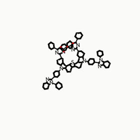 c1ccc(-c2cc(-c3ccccc3)nc(-c3ccc4c(c3)c3c5sc6c(ccc7c6c6cc(-c8nc(-c9ccccc9)cc(-c9ccccc9)n8)ccc6n7-c6ccc(-c7nc8ccccc8n7-c7ccccc7)cc6)c5ccc3n4-c3ccc(-c4nc5ccccc5n4-c4ccccc4)cc3)n2)cc1